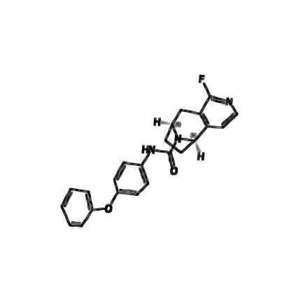 O=C(Nc1ccc(Oc2ccccc2)cc1)N1[C@H]2CC[C@@H]1c1ccnc(F)c1C2